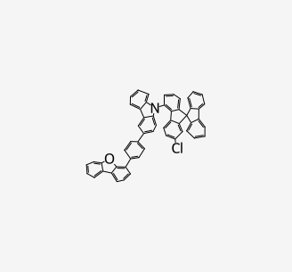 Clc1ccc2c(c1)C1(c3ccccc3-c3ccccc31)c1cccc(-n3c4ccccc4c4cc(-c5ccc(-c6cccc7c6oc6ccccc67)cc5)ccc43)c1-2